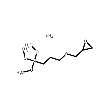 CO[Si](CCCOCC1CO1)(OC)OC.[SiH4]